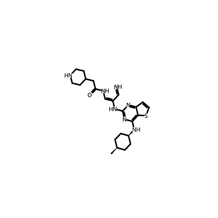 C[C@H]1CC[C@@H](Nc2nc(N/C(C=N)=C/NC(=O)CC3CCNCC3)nc3ccsc23)CC1